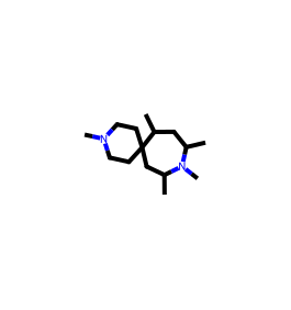 CC1CC(C)C2(CCN(C)CC2)CC(C)N1C